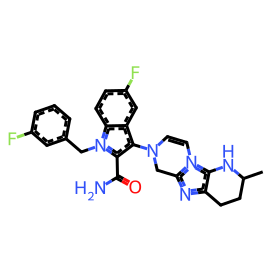 CC1CCc2nc3n(c2N1)C=CN(c1c(C(N)=O)n(Cc2cccc(F)c2)c2ccc(F)cc12)C3